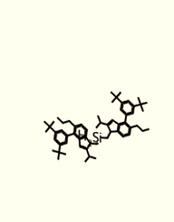 CCCc1ccc2c(c1-c1cc(C(C)(C)C)cc(C(C)(C)C)c1)C=C(C(C)C)C2C[SiH2]CC1C(C(C)C)=Cc2c1ccc(CCC)c2-c1cc(C(C)(C)C)cc(C(C)(C)C)c1